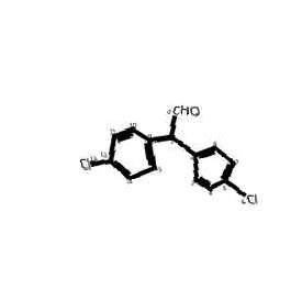 O=CC(c1ccc(Cl)cc1)c1ccc(Cl)cc1